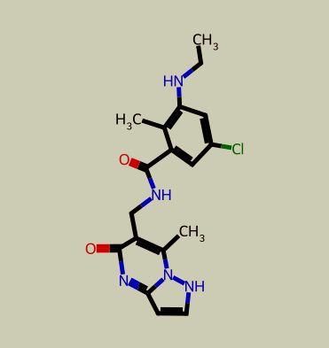 CCNc1cc(Cl)cc(C(=O)NCc2c(C)n3[nH]ccc3nc2=O)c1C